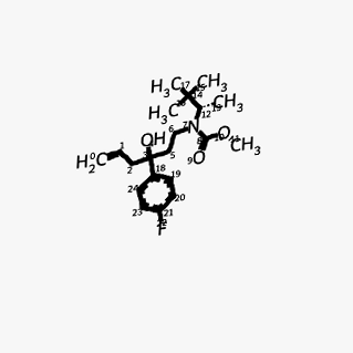 C=CCC(O)(CCN(C(=O)OC)[C@@H](C)C(C)(C)C)c1ccc(F)cc1